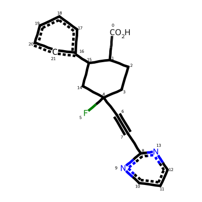 O=C(O)C1CCC(F)(C#Cc2ncccn2)CC1c1ccccc1